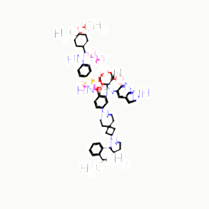 COC1(C)CCC(CNc2ccc(S(=O)(=O)NC(=O)c3ccc(N4CCC5(CC4)CC(N4CCC[C@H]4c4ccccc4C(C)C)C5)cc3N3c4cc5cc[nH]c5nc4O[C@@H]4COCC[C@H]43)cc2[N+](=O)[O-])CC1